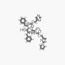 CC(C)[C@H](NC(=O)OCc1csc(N2CCCC2)n1)C(=O)N[C@@H](Cc1ccccc1)[C@@H](O)C[C@H](Cc1ccccc1)NC(=O)OCc1cnco1